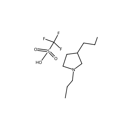 CCCC1CCN(CCC)C1.O=S(=O)(O)C(F)(F)F